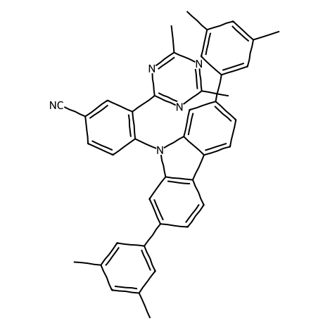 Cc1cc(C)cc(-c2ccc3c4ccc(-c5cc(C)cc(C)c5)cc4n(-c4ccc(C#N)cc4-c4nc(C)nc(C)n4)c3c2)c1